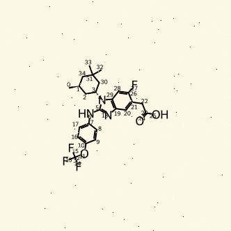 C[C@@H]1C[C@@H](n2c(Nc3ccc(OC(F)(F)F)cc3)nc3cc(CC(=O)O)c(F)cc32)CC(C)(C)C1